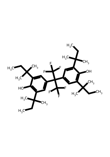 CCC(C)(C)c1cc(C(c2cc(C(C)(C)CC)c(O)c(C(C)(C)CC)c2)(C(F)(F)F)C(F)(F)F)cc(C(C)(C)CC)c1O